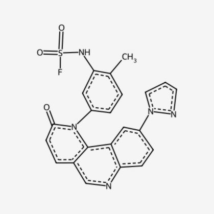 Cc1ccc(-n2c(=O)ccc3cnc4ccc(-n5cccn5)cc4c32)cc1NS(=O)(=O)F